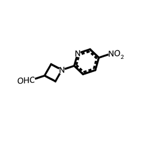 O=CC1CN(c2ccc([N+](=O)[O-])cn2)C1